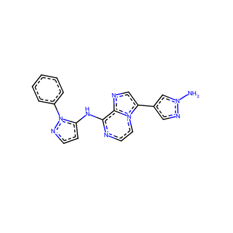 Nn1cc(-c2cnc3c(Nc4ccnn4-c4ccccc4)nccn23)cn1